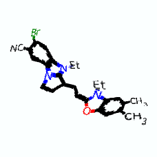 CCN1C(=CC=C2CCn3c2[n+](CC)c2cc(Br)c(C#N)cc23)Oc2cc(C)c(C)cc21